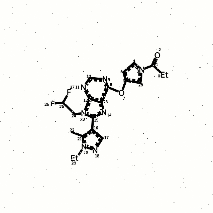 CCC(=O)n1ccc(Oc2ncnc3c2nc(-c2cnn(CC)c2C)n3CC(F)F)c1